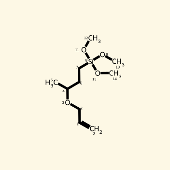 C=CCOC(C)CC[Si](OC)(OC)OC